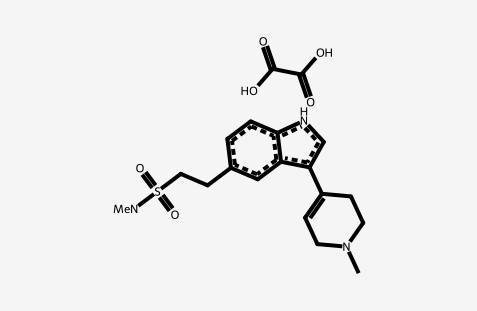 CNS(=O)(=O)CCc1ccc2[nH]cc(C3=CCN(C)CC3)c2c1.O=C(O)C(=O)O